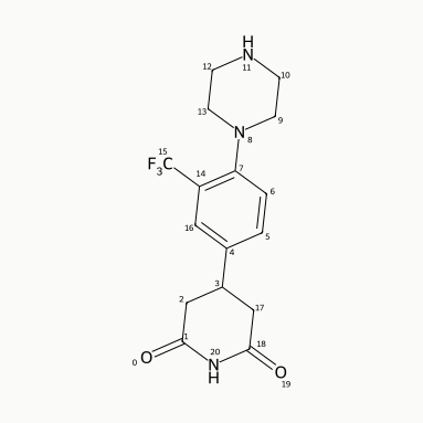 O=C1CC(c2ccc(N3CCNCC3)c(C(F)(F)F)c2)CC(=O)N1